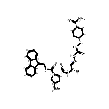 CC[C@@H](/C=N/NC(=O)NC[C@H]1CC[C@H](C(=O)NC)CC1)NC(=O)[C@@H]1C[C@@H](NC)CN1C(=O)OCC1c2ccccc2-c2ccccc21